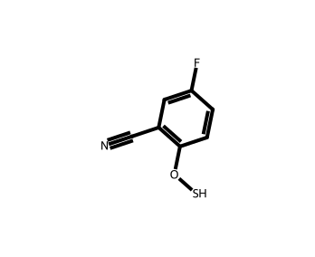 N#Cc1cc(F)ccc1OS